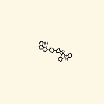 C1=Cc2ccc3ccc(-c4ccc(-c5ccc6oc7c(c6c5)c5ccccc5c5nc6ccccc6n57)cc4)nc3c2NC1